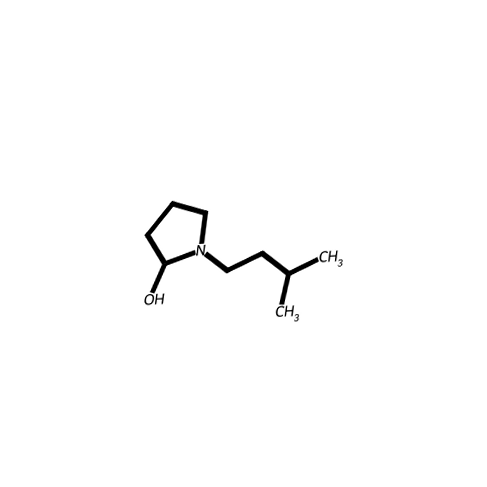 CC(C)CCN1CCCC1O